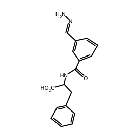 NN=Cc1cccc(C(=O)NC(Cc2ccccc2)C(=O)O)c1